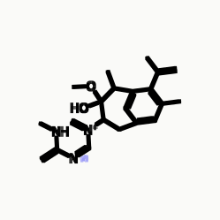 C=C(/N=C\[N+](=C)C1Cc2cc(C)c(C(=C)C)c(c2)C(C)C1(O)OC)NC